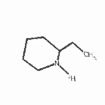 [2H]N1CCCCC1CC